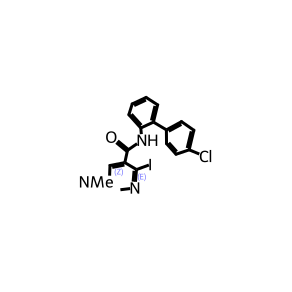 C/N=C(I)\C(=C/NC)C(=O)Nc1ccccc1-c1ccc(Cl)cc1